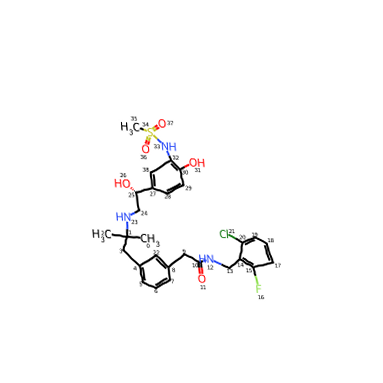 CC(C)(Cc1cccc(CC(=O)NCc2c(F)cccc2Cl)c1)NC[C@H](O)c1ccc(O)c(NS(C)(=O)=O)c1